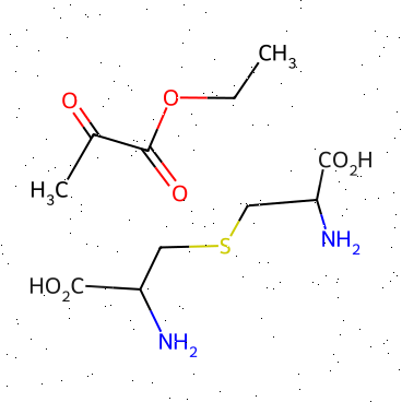 CCOC(=O)C(C)=O.NC(CSCC(N)C(=O)O)C(=O)O